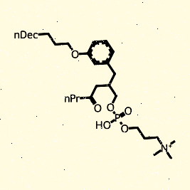 CCCCCCCCCCCCCOc1cccc(CC(COP(=O)(O)OCCC[N+](C)(C)C)CC(=O)CCC)c1